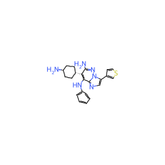 Nc1nn2c(-c3ccsc3)cnc2c(Nc2ccccc2)c1[C@H]1CC[C@H](N)CC1